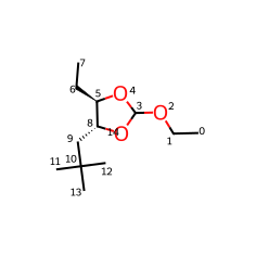 CCOC1O[C@H](CC)[C@@H](CC(C)(C)C)O1